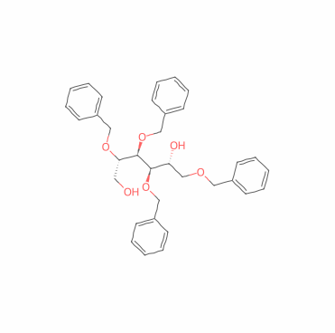 OC[C@H](OCc1ccccc1)[C@@H](OCc1ccccc1)[C@H](OCc1ccccc1)[C@H](O)COCc1ccccc1